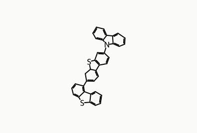 C1=C(c2cccc3sc4ccccc4c23)CC2Sc3cc(-n4c5ccccc5c5ccccc54)ccc3C2=C1